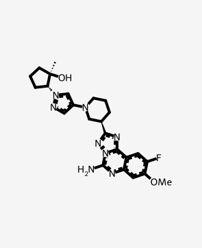 COc1cc2nc(N)n3nc([C@@H]4CCCN(c5cnn([C@@H]6CCC[C@@]6(C)O)c5)C4)nc3c2cc1F